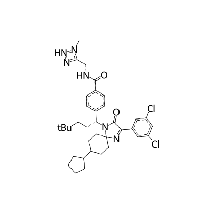 Cn1[nH]nc1CNC(=O)c1ccc([C@@H](CCC(C)(C)C)N2C(=O)C(c3cc(Cl)cc(Cl)c3)=NC23CCC(C2CCCC2)CC3)cc1